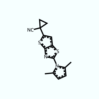 Cc1ccc(C)n1-c1nc2sc(C3(C#N)CC3)cc2s1